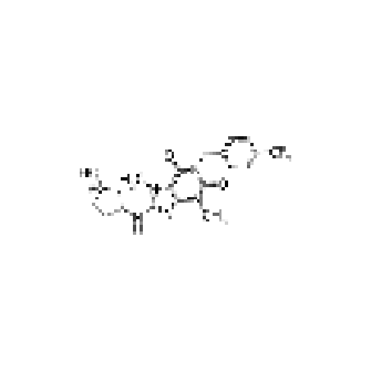 Cn1c(NC2CC[C@@H](O)C2)nc2c1c(=O)n(Cc1ccc(C(F)(F)F)cc1)c(=O)n2C